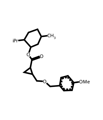 COc1ccc(COCC2CC2C(=O)OC2CC(C)CCC2C(C)C)cc1